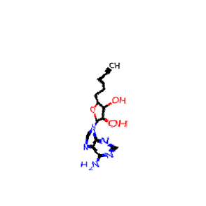 C#CCCCC1OC(n2cnc3c(N)ncnc32)C(O)C1O